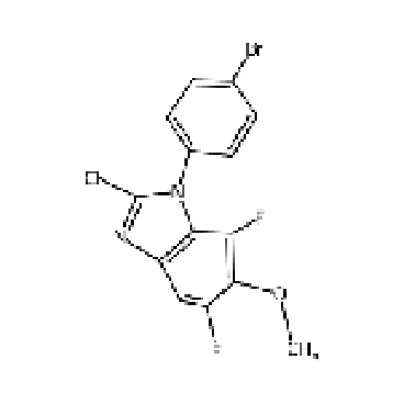 COc1c(F)cc2nc(Cl)n(-c3ccc(Br)cc3)c2c1F